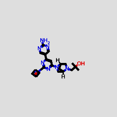 CC(C)(O)CN1C[C@@H]2C[C@H]1CN2c1cc(-c2cnc(N)nc2)nc(N2CC3CC2C3)n1